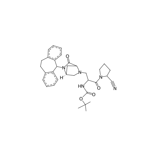 CC(C)(C)OC(=O)NC(CN1C[C@@H]2CC1C(=O)N2C1c2ccccc2CCc2ccccc21)C(=O)N1CCCC1C#N